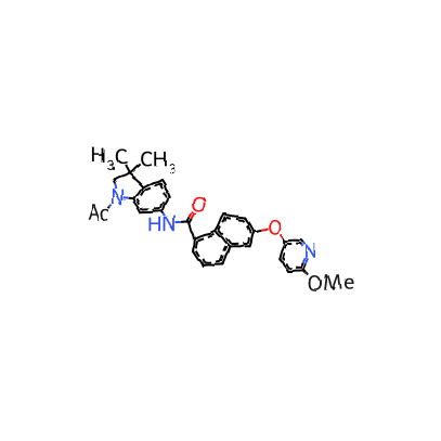 COc1ccc(Oc2ccc3c(C(=O)Nc4ccc5c(c4)N(C(C)=O)CC5(C)C)cccc3c2)cn1